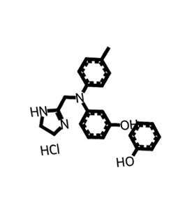 Cc1ccc(N(CC2=NCCN2)c2cccc(O)c2)cc1.Cl.Oc1ccccc1